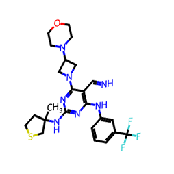 CC1(Nc2nc(Nc3cccc(C(F)(F)F)c3)c(C=N)c(N3CC(N4CCOCC4)C3)n2)CCSC1